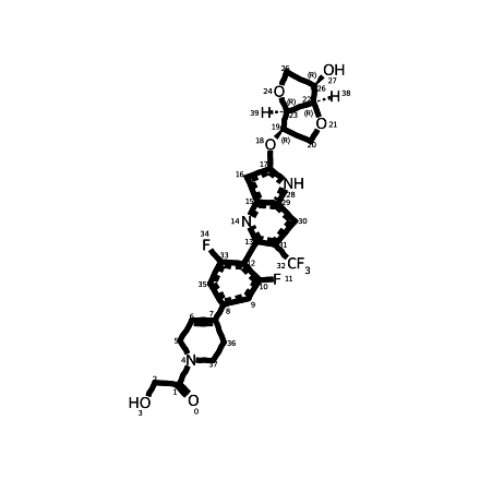 O=C(CO)N1CC=C(c2cc(F)c(-c3nc4cc(O[C@@H]5CO[C@H]6[C@@H]5OC[C@H]6O)[nH]c4cc3C(F)(F)F)c(F)c2)CC1